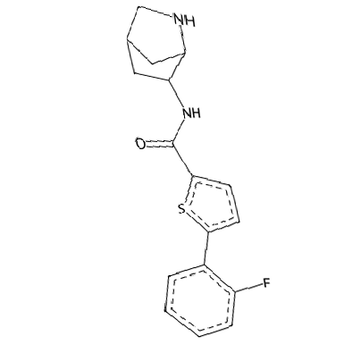 O=C(NC1CC2CNC1C2)c1ccc(-c2ccccc2F)s1